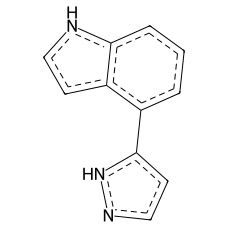 c1cc(-c2ccn[nH]2)c2cc[nH]c2c1